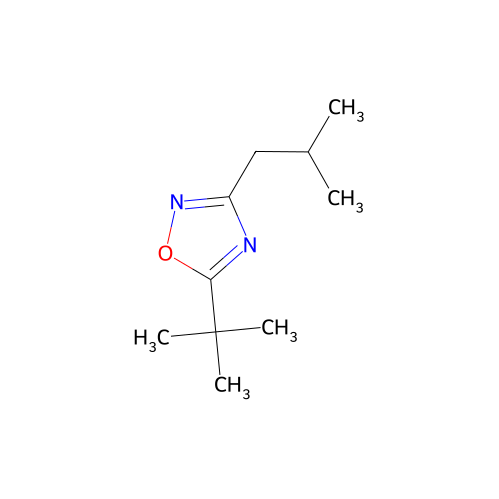 CC(C)Cc1noc(C(C)(C)C)n1